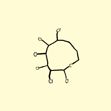 ClC1CCCCC(Cl)C(Cl)C(Cl)C(Cl)C1Cl